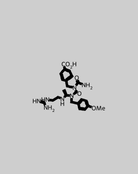 C=C(NCCNC(=N)N)N(Cc1ccc(OC)cc1)C(=O)N(Cc1ccc(C(=O)O)cc1)C(N)=O